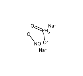 O=N[O-].O=[PH2][O-].[Na+].[Na+]